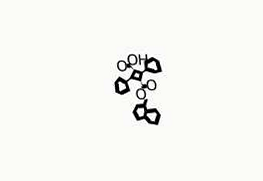 O=C(O)[C@@H]1[C@@H](c2ccccc2)[C@H](C(=O)OCc2cccc3ccccc23)[C@H]1c1ccccc1